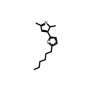 CCCCCCc1ccc(C2=CC(C)=NC2C)s1